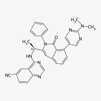 C[C@H](Nc1ncnc2ccc(C#N)cc12)c1cc2cccc(-c3cnc(N(C)C)nc3)c2c(=O)n1-c1ccccc1